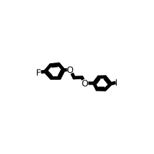 Fc1ccc(OCCOc2ccc(I)cc2)cc1